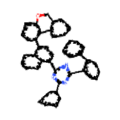 c1ccc(-c2nc(-c3ccccc3-c3ccccc3)nc(-c3ccc(-c4cccc5c4-c4ccccc4CO5)c4ccccc34)n2)cc1